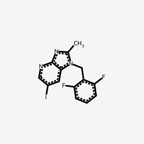 Cc1nc2ncc(I)cc2n1Cc1c(F)cccc1F